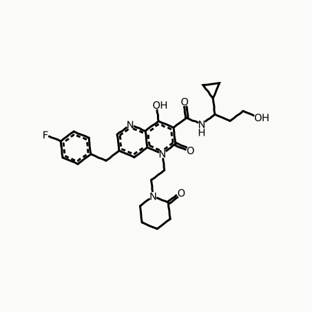 O=C(NC(CCO)C1CC1)c1c(O)c2ncc(Cc3ccc(F)cc3)cc2n(CCN2CCCCC2=O)c1=O